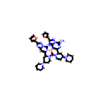 Nc1nc(C2CC(N3CCCCC3)CCN2C(=O)N2CCC(N3CCCCC3)CC2c2cc3nc(-c4ccco4)nn3c(N)n2)cc2nc(-c3ccco3)nn12